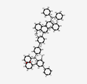 Fc1cc(-c2ccccc2)cc(-c2ccccc2)c1N(c1ccccc1)c1ccc(-c2ccc3c(c2)Oc2cccc4c2c-3cc2c3ccccc3c(N(c3ccccc3)c3ccccc3)cc42)cc1